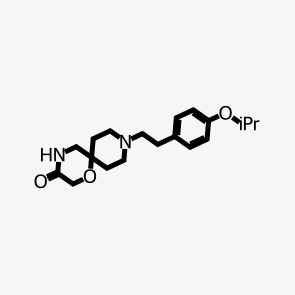 CC(C)Oc1ccc(CCN2CCC3(CC2)CNC(=O)CO3)cc1